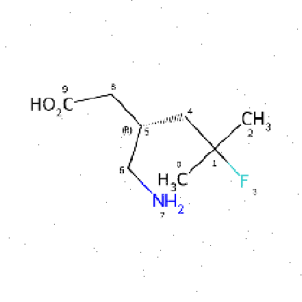 CC(C)(F)C[C@H](CN)CC(=O)O